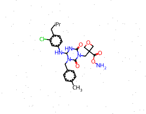 Cc1ccc(CN2C(=O)N(CC3(C(=O)ON)COC3)C(=O)NC2Nc2ccc(CC(C)C)c(Cl)c2)cc1